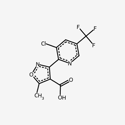 Cc1onc(-c2ncc(C(F)(F)F)cc2Cl)c1C(=O)O